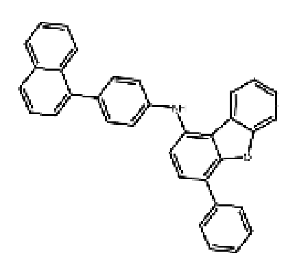 c1ccc(-c2ccc(Nc3ccc(-c4cccc5ccccc45)cc3)c3c2oc2ccccc23)cc1